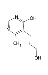 Cc1ncnc(O)c1CCCO